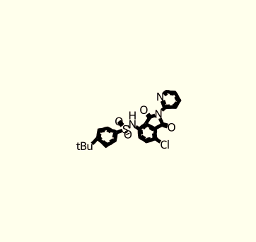 CC(C)(C)c1ccc(S(=O)(=O)Nc2ccc(Cl)c3c2C(=O)N(c2ccccn2)C3=O)cc1